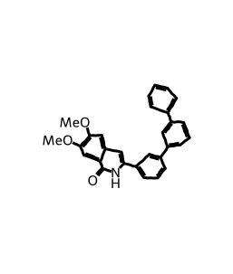 COc1cc2cc(-c3cccc(-c4cccc(-c5ccccc5)c4)c3)[nH]c(=O)c2cc1OC